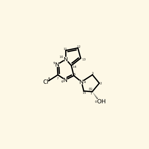 O[C@H]1CCN(c2nc(Cl)nn3cccc23)C1